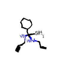 C=CCNC([SiH3])(NCC=C)C1CCCCC1